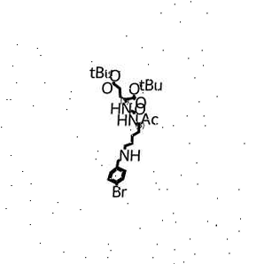 CC(=O)[C@H](CCCCNCc1ccc(Br)cc1)NC(=O)N[C@@H](CCC(=O)OC(C)(C)C)C(=O)OC(C)(C)C